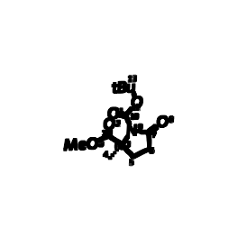 COC(=O)[C@]1(C)CCC(=O)N1C(=O)OC(C)(C)C